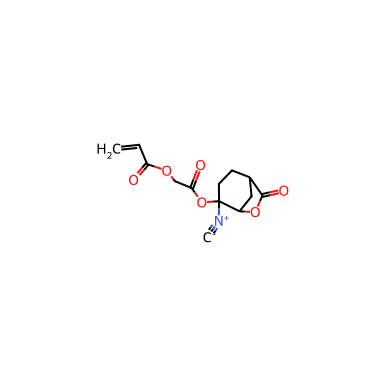 [C-]#[N+]C1(OC(=O)COC(=O)C=C)CCC2CC1OC2=O